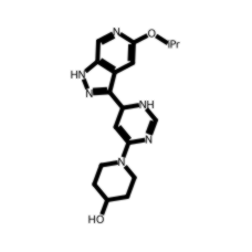 CC(C)Oc1cc2c(C3C=C(N4CCC(O)CC4)N=CN3)n[nH]c2cn1